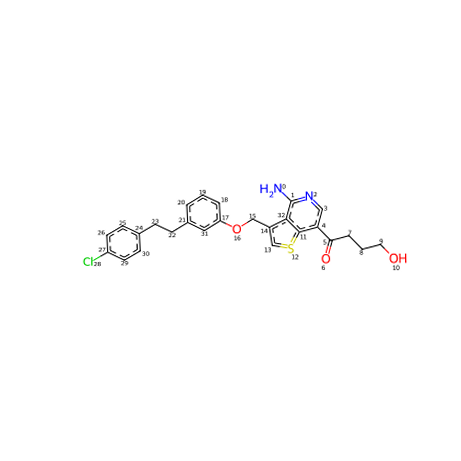 Nc1ncc(C(=O)CCCO)c2scc(COc3cccc(CCc4ccc(Cl)cc4)c3)c12